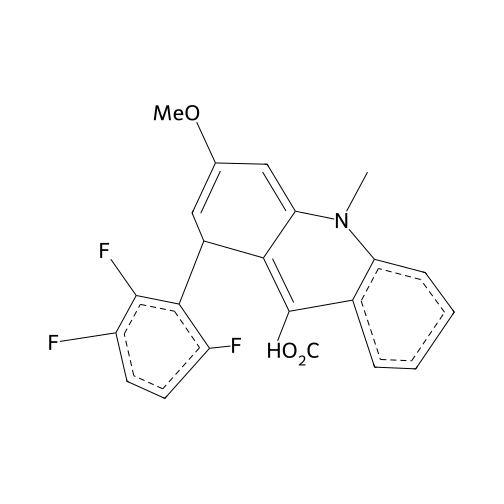 COC1=CC(c2c(F)ccc(F)c2F)C2=C(C(=O)O)c3ccccc3N(C)C2=C1